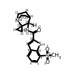 CS(=O)(=O)c1cccc2cc(C(=O)N[C@H]3C4CCN(CC4)C34CC4)sc12